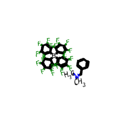 CN(C)Cc1ccccc1.Fc1c(F)c(F)c([B-](c2c(F)c(F)c(F)c(F)c2F)(c2c(F)c(F)c(F)c(F)c2F)c2c(F)c(F)c(F)c(F)c2F)c(F)c1F